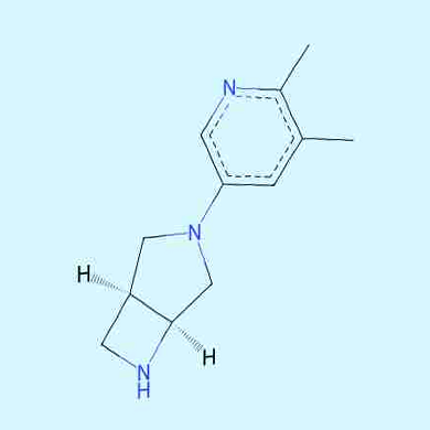 Cc1cc(N2C[C@@H]3CN[C@@H]3C2)cnc1C